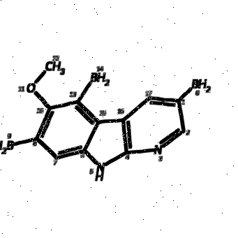 Bc1cnc2[nH]c3cc(B)c(OC)c(B)c3c2c1